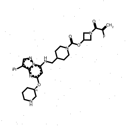 C=C(F)C(=O)N1CC(OC(=O)N2CCC(CNc3cc(O[C@@H]4CCCNC4)nc4c(C(C)C)cnn34)CC2)C1